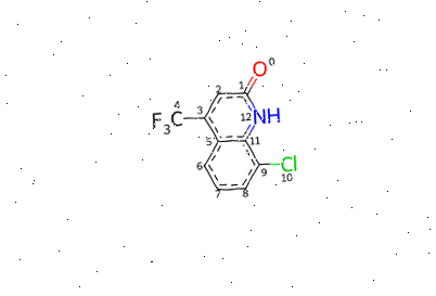 O=c1cc(C(F)(F)F)c2cccc(Cl)c2[nH]1